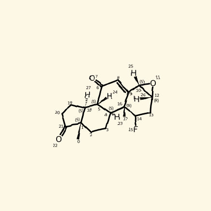 C[C@]12CC[C@H]3[C@@H](C(=O)C=C4[C@@H]5O[C@@H]5CC(F)[C@@]43C)[C@@H]1CCC2=O